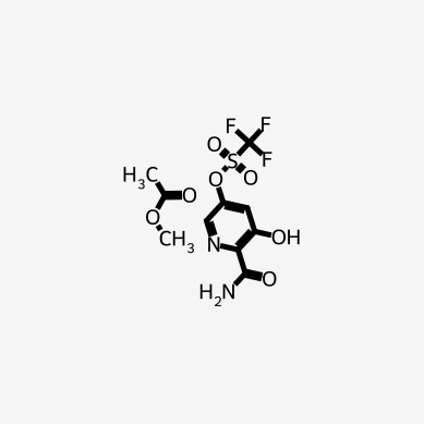 COC(C)=O.NC(=O)c1ncc(OS(=O)(=O)C(F)(F)F)cc1O